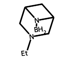 BN1C2CC1CN(CC)C2